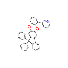 c1ccc(C2(c3ccccc3)c3ccccc3-c3cc4c(cc32)Oc2cccc(-c3cccnc3)c2O4)cc1